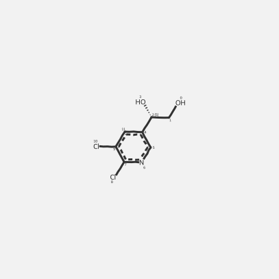 OC[C@@H](O)c1cnc(Cl)c(Cl)c1